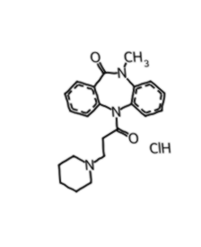 CN1C(=O)c2ccccc2N(C(=O)CCN2CCCCC2)c2ccccc21.Cl